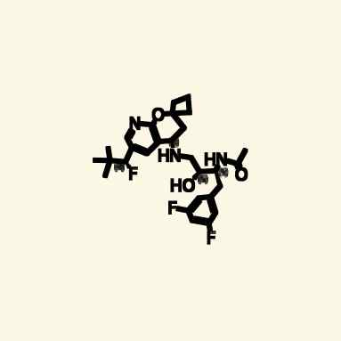 CC(=O)N[C@@H](Cc1cc(F)cc(F)c1)[C@@H](O)CN[C@H]1CC2(CCC2)Oc2ncc([C@H](F)C(C)(C)C)cc21